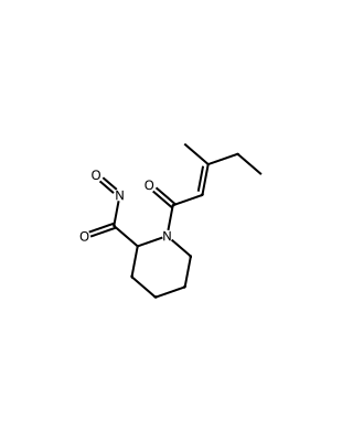 CC/C(C)=C/C(=O)N1CCCCC1C(=O)N=O